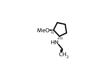 C=CN[C@H]1CCC[C@@H]1OC